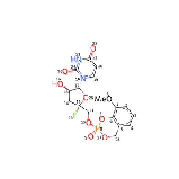 COc1cccc2c1OP(=O)(OC[C@]1(F)C[C@@H](O)[C@H](n3ccc(=O)[nH]c3=O)O1)OC2